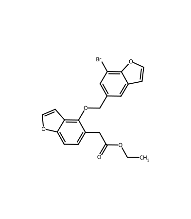 CCOC(=O)Cc1ccc2occc2c1OCc1cc(Br)c2occc2c1